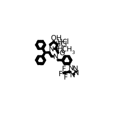 COc1ccc(-n2nnnc2C(F)(F)F)cc1CN1CC(C(c2ccccc2)c2ccccc2)N2CC(O)C[C@H]2C1.Cl.Cl